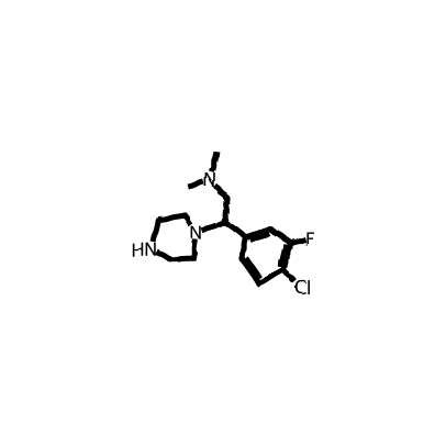 CN(C)CC(c1ccc(Cl)c(F)c1)N1CCNCC1